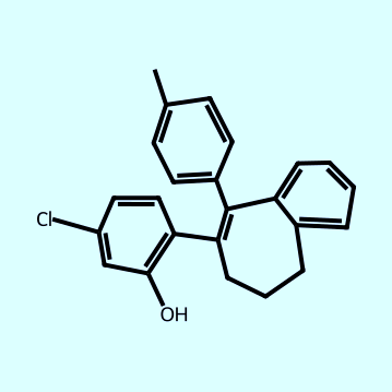 Cc1ccc(C2=C(c3ccc(Cl)cc3O)CCCc3ccccc32)cc1